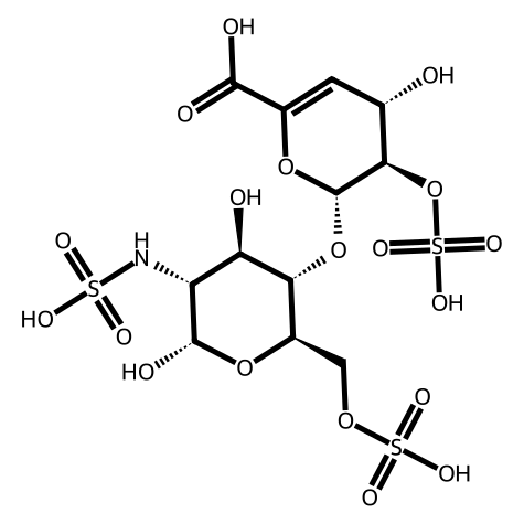 O=C(O)C1=C[C@H](O)[C@@H](OS(=O)(=O)O)[C@H](O[C@H]2[C@H](O)[C@@H](NS(=O)(=O)O)[C@@H](O)O[C@@H]2COS(=O)(=O)O)O1